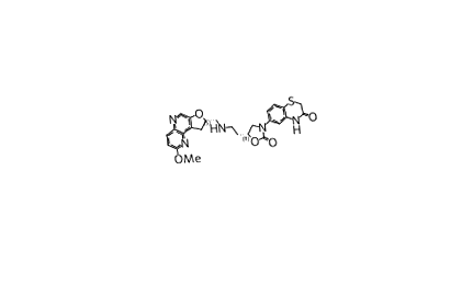 COc1ccc2ncc3c(c2n1)C[C@@H](CNCC[C@@H]1CN(c2ccc4c(c2)NC(=O)CS4)C(=O)O1)O3